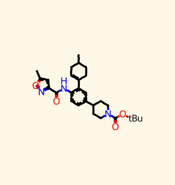 Cc1cc(C(=O)Nc2ccc(C3CCN(C(=O)OC(C)(C)C)CC3)cc2C2=CCC(C)CC2)no1